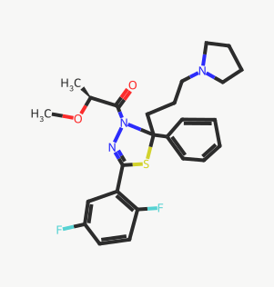 CO[C@@H](C)C(=O)N1N=C(c2cc(F)ccc2F)SC1(CCCN1CCCC1)c1ccccc1